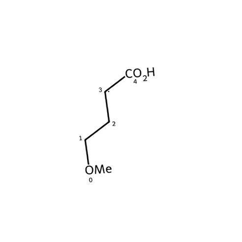 COCC[CH]C(=O)O